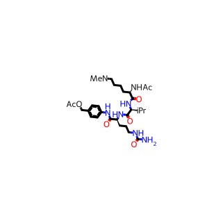 CNCCCC[C@H](NC(C)=O)C(=O)N[C@H](C(=O)N[C@@H](CCCNC(N)=O)C(=O)Nc1ccc(COC(C)=O)cc1)C(C)C